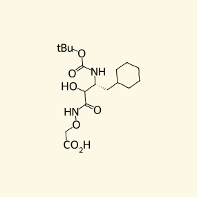 CC(C)(C)OC(=O)N[C@H](CC1CCCCC1)C(O)C(=O)NOCC(=O)O